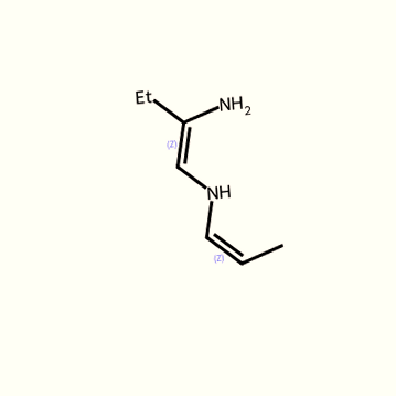 C/C=C\N/C=C(\N)CC